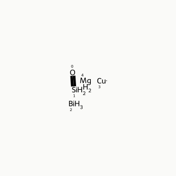 O=[SiH2].[BiH3].[Cu].[MgH2]